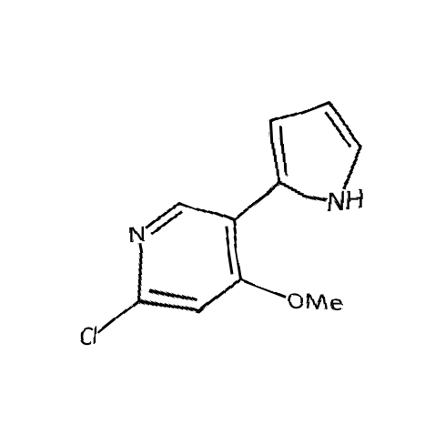 COc1cc(Cl)ncc1-c1ccc[nH]1